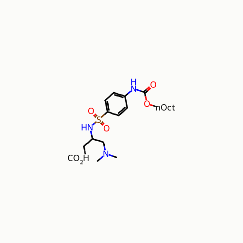 CCCCCCCCOC(=O)Nc1ccc(S(=O)(=O)NC(CC(=O)O)CN(C)C)cc1